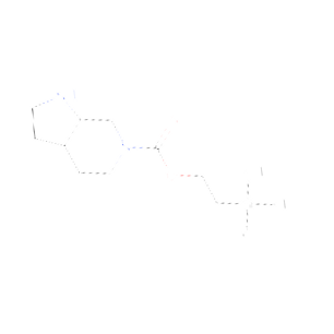 C[Si](C)(C)CCOC(=O)N1CCC2CCNC2C1